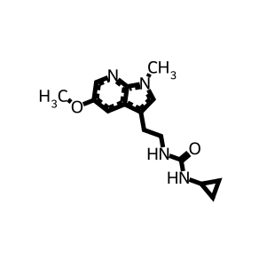 COc1cnc2c(c1)c(CCNC(=O)NC1CC1)cn2C